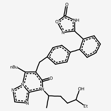 CCCCc1c(Cc2ccc(-c3ccccc3-c3noc(=O)[nH]3)cc2)c(=O)n(C(C)CCC(O)CC)c2ncnn12